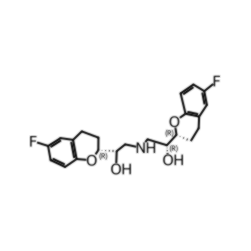 OC(CNC[C@@H](O)[C@H]1CCc2cc(F)ccc2O1)[C@H]1CCc2cc(F)ccc2O1